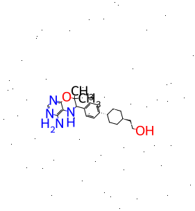 CC1(C)Oc2ncnc(N)c2NC1c1ccc([C@H]2CC[C@H](CCO)CC2)cc1